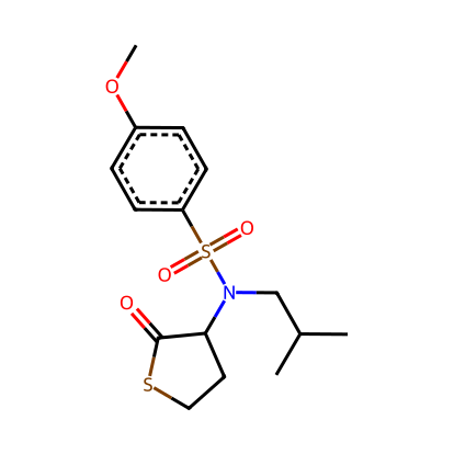 COc1ccc(S(=O)(=O)N(CC(C)C)C2CCSC2=O)cc1